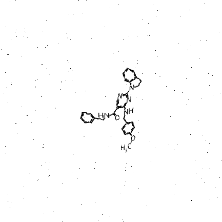 COc1ccc(CNc2nc(N3CCc4ccccc43)ncc2C(=O)NCc2ccccc2)cc1